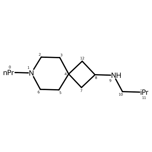 CCCN1CCC2(CC1)CC(NCC(C)C)C2